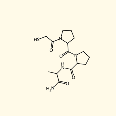 CC(NC(=O)C1CCCN1C(=O)C1CCCN1C(=O)CS)C(N)=O